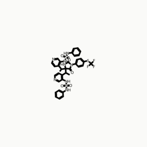 CC(c1ccncc1NS(=O)(=O)Nc1ccccc1)C1(C(C)c2ccncc2NS(=O)(=O)Nc2ccccc2)NC(=O)N(c2ccc(SC(F)(F)F)cc2)C1=O